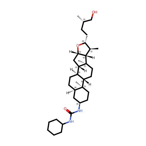 C[C@H](CO)CC[C@H]1O[C@H]2C[C@H]3[C@@H]4CC[C@@H]5C[C@H](NC(=O)NC6CCCCC6)CC[C@]5(C)[C@H]4CC[C@]3(C)[C@H]2[C@@H]1C